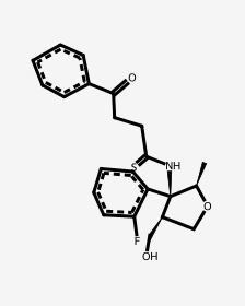 C[C@H]1OC[C@@H](CO)[C@]1(NC(=S)CCC(=O)c1ccccc1)c1ccccc1F